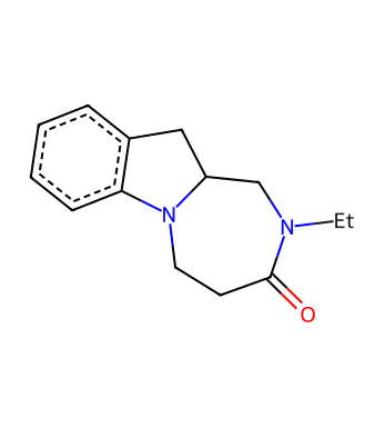 CCN1CC2Cc3ccccc3N2CCC1=O